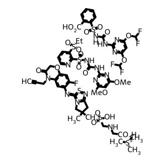 C#CCN1C(=O)COc2cc(F)c(/N=c3\snc4n3CC(C)(C)C4)cc21.CCS(=O)(=O)c1cccnc1S(=O)(=O)NC(=O)Nc1nc(OC)cc(OC)n1.C[S+](C)C.O=C(Nc1nc(OC(F)F)cc(OC(F)F)n1)NS(=O)(=O)c1ccccc1C(=O)O.O=C(O)CNCP(=O)([O-])O